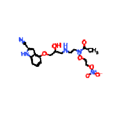 CC(=O)N(CCNCC(O)COc1cccc2[nH]c(C#N)cc12)OCCO[N+](=O)[O-]